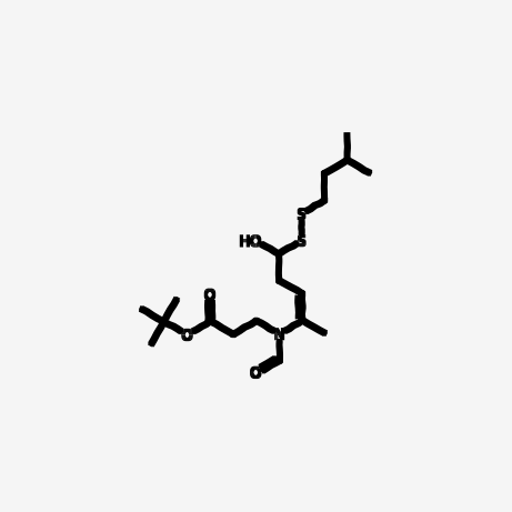 CC(=CCC(O)SSCCC(C)C)N(C=O)CCC(=O)OC(C)(C)C